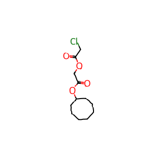 O=C(CCl)OCC(=O)OC1CCCCCCC1